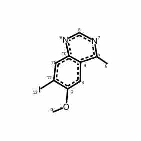 COc1cc2c(C)ncnc2cc1I